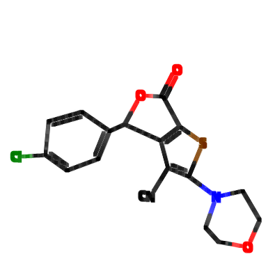 [C-]#[N+]c1c(N2CCOCC2)sc2c1C(c1ccc(Cl)cc1)OC2=O